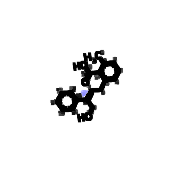 Cc1cccc(C/C=C(\CO)c2ccccc2)c1C(=O)O